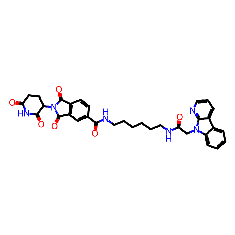 O=C(Cn1c2ccccc2c2cccnc21)NCCCCCCNC(=O)c1ccc2c(c1)C(=O)N(C1CCC(=O)NC1=O)C2=O